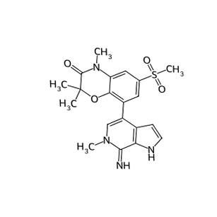 CN1C(=O)C(C)(C)Oc2c(-c3cn(C)c(=N)c4[nH]ccc34)cc(S(C)(=O)=O)cc21